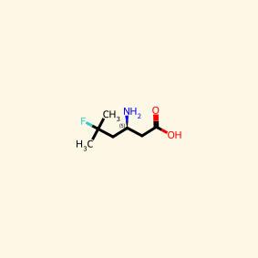 CC(C)(F)C[C@@H](N)CC(=O)O